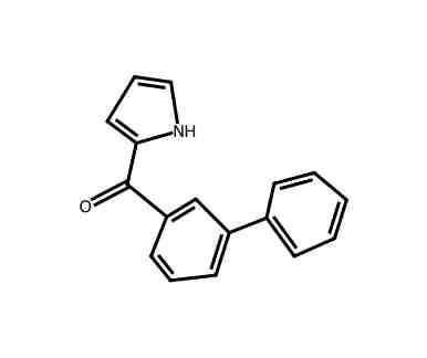 O=C(c1cccc(-c2ccccc2)c1)c1ccc[nH]1